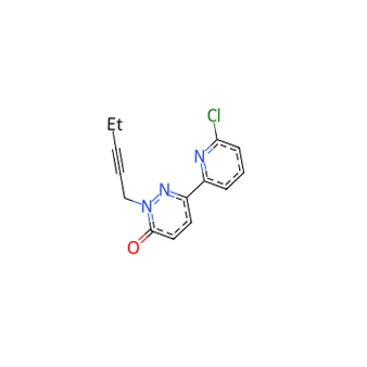 CCC#CCn1nc(-c2cccc(Cl)n2)ccc1=O